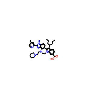 CCCC(CCC)c1c2n(c3cc(C(=O)O)ccc13)CCN(CCN1CCCCC1)c1c-2ccc2[nH]c(-c3cc(C)ccn3)nc12